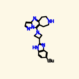 CC(C)(C)c1ccc2[nH]c(C3CN(c4c5c(nc6ccnn46)CCNCC5)C3)nc2c1